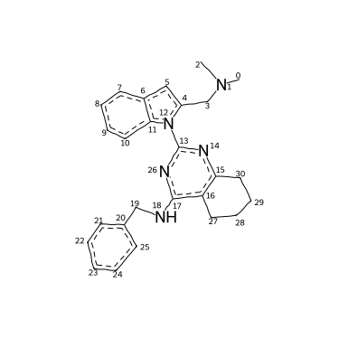 CN(C)Cc1cc2ccccc2n1-c1nc2c(c(NCc3ccccc3)n1)CCCC2